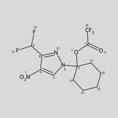 O=C(OC1(n2cc([N+](=O)[O-])c(C(F)F)n2)CCCCC1)C(F)(F)F